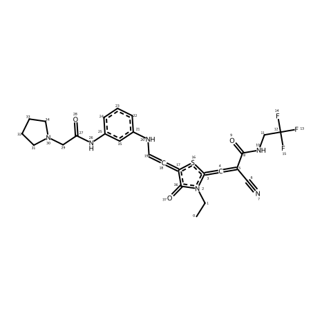 CCn1c(=C=C(C#N)C(=O)NCC(F)(F)F)sc(=C=CNc2cccc(NC(=O)CN3CCCC3)c2)c1=O